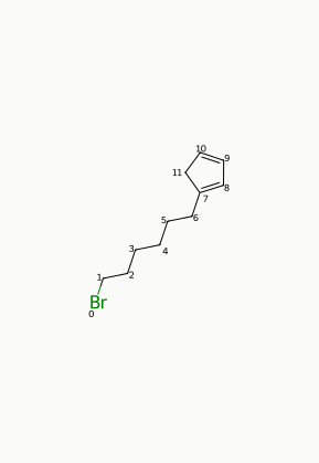 BrCCCCCCC1=CC=CC1